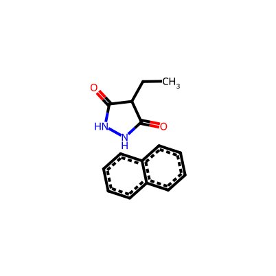 CCC1C(=O)NNC1=O.c1ccc2ccccc2c1